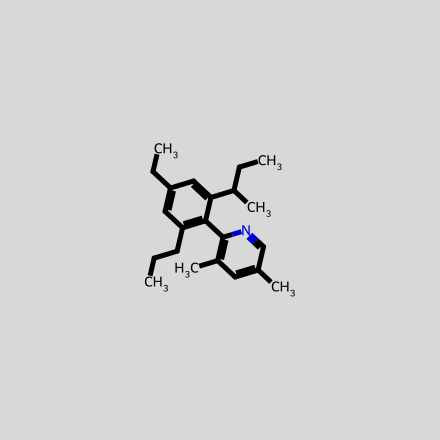 CCCc1cc(CC)cc(C(C)CC)c1-c1ncc(C)cc1C